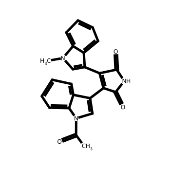 CC(=O)n1cc(C2=C(c3cn(C)c4ccccc34)C(=O)NC2=O)c2ccccc21